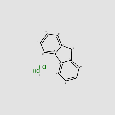 Cl.Cl.c1ccc2c(c1)Cc1ccccc1-2